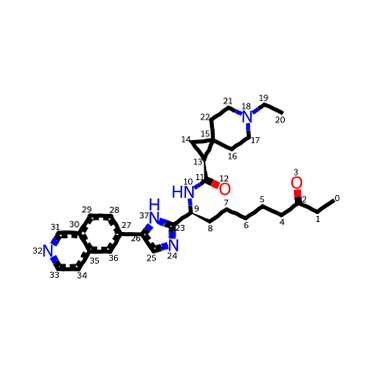 CCC(=O)CCCCC[C@H](NC(=O)[C@H]1CC12CCN(CC)CC2)c1ncc(-c2ccc3cnccc3c2)[nH]1